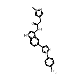 Cn1cc(CC(=O)Nc2c[nH]c3ccc(-c4cnn(-c5ccc(C(F)(F)F)cc5)c4)cc23)cn1